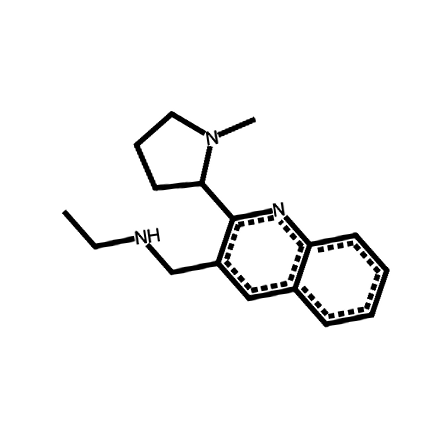 CCNCc1cc2ccccc2nc1C1CCCN1C